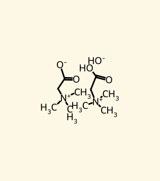 C[N+](C)(C)CC(=O)O.C[N+](C)(C)CC(=O)[O-].[OH-]